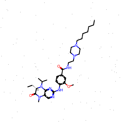 CCCCCCCN1CCN(CCNC(=O)c2ccc(Nc3ncc4c(n3)N(C(C)C)[C@@H](CC)C(=O)N4C)c(OC)c2)CC1